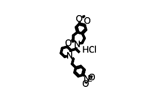 CC(C1CCCCN1CCc1ccc([N+](=O)[O-])cc1)N1CCc2cc3c(cc2CC1=O)OCO3.Cl